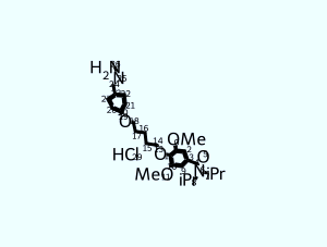 COc1cc(C(=O)N(C(C)C)C(C)C)cc(OC)c1OCCCCCOc1ccc(C=NN)cc1.Cl